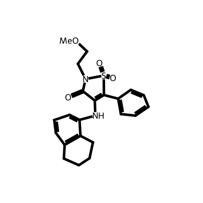 COCCN1C(=O)C(Nc2cccc3c2CCCC3)=C(c2ccccc2)S1(=O)=O